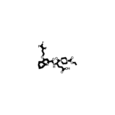 CCOC(=O)N1CCN(C(=O)C(CCC(=O)O)NC(=O)c2cc(OCCC(F)=C(F)F)c3ccccc3n2)CC1